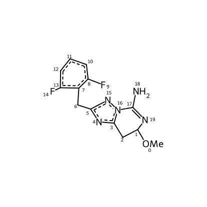 COC1Cc2nc(Cc3c(F)cccc3F)nn2C(N)=N1